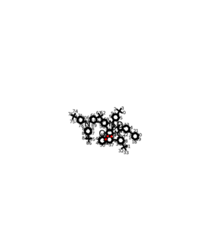 CC(C)(C)c1ccc(N2B3c4oc5ccc(-c6ccccc6)cc5c4N(c4ccc(C(C)(C)C)cc4-c4ccccc4)c4cc5c(oc6ccccc65)c(c43)-c3cc4c(cc32)C(C)(C)c2ccc(N(c3ccc(C(C)(C)C)cc3)c3ccc(C(C)(C)C)cc3)cc2-4)cc1